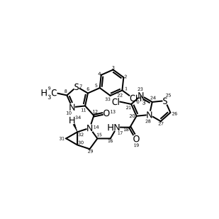 Cc1cccc(-c2sc(C)nc2C(=O)N2C(CNC(=O)c3c(Cl)nc4sccn34)CC3C[C@@H]32)c1